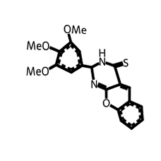 COc1cc(C2N=C3Oc4ccccc4C=C3C(=S)N2)cc(OC)c1OC